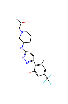 Cc1cc(C(F)(F)F)cc(O)c1-c1ccc(N[C@@H]2CCCN(CC(C)O)C2)nn1